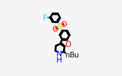 CCCCC1NCCc2c1oc1ccc(S(=O)(=O)c3cccc(F)c3)cc21